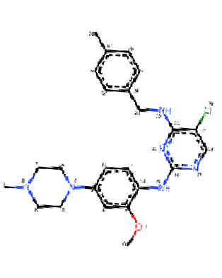 COc1cc(N2CCN(C)CC2)ccc1Nc1ncc(Cl)c(NCc2ccc(C)cc2)n1